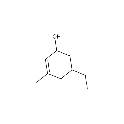 CCC1CC(C)=CC(O)C1